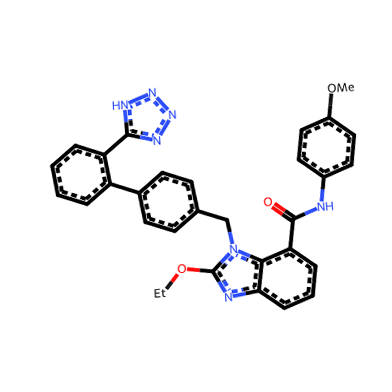 CCOc1nc2cccc(C(=O)Nc3ccc(OC)cc3)c2n1Cc1ccc(-c2ccccc2-c2nnn[nH]2)cc1